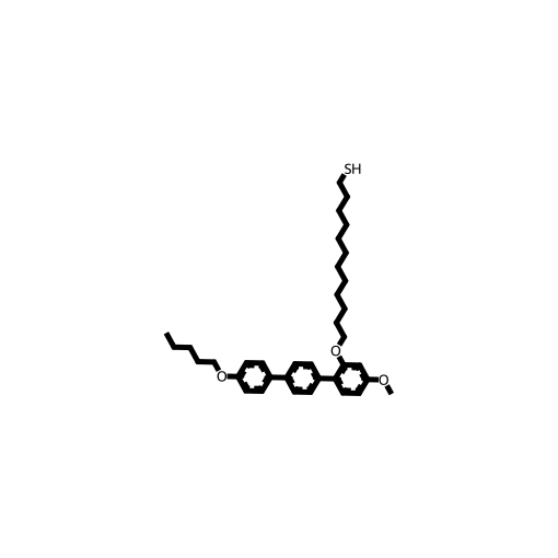 CCCCCOc1ccc(-c2ccc(-c3ccc(OC)cc3OCCCCCCCCCCCCS)cc2)cc1